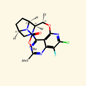 CC[C@@H]1Oc2nc(Cl)c(F)c3nc(SC)nc(c23)N2C[C@H]3CC[C@@H]([C@@H]12)N3C(=O)OC(C)(C)C